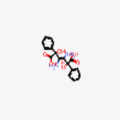 NC(=C(N)C(O)(C(=O)O)c1ccccc1)C(O)(C(=O)O)c1ccccc1